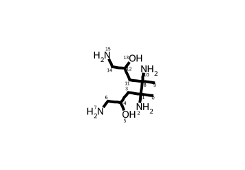 CC(N)(CC(O)CN)C(C)(N)CC(O)CN